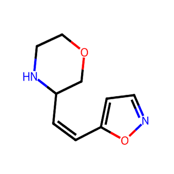 C(=C/C1COCCN1)/c1ccno1